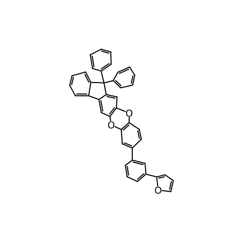 c1ccc(C2(c3ccccc3)c3ccccc3-c3cc4c(cc32)Oc2ccc(-c3cccc(-c5ccco5)c3)cc2O4)cc1